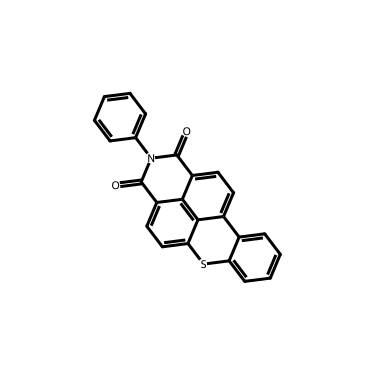 O=c1c2ccc3sc4ccccc4c4ccc(c(=O)n1-c1ccccc1)c2c34